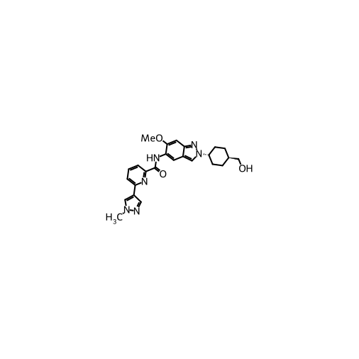 COc1cc2nn([C@H]3CC[C@H](CO)CC3)cc2cc1NC(=O)c1cccc(-c2cnn(C)c2)n1